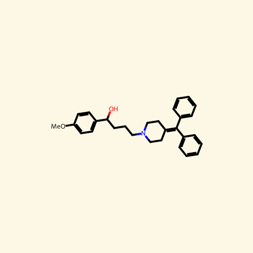 COc1ccc(C(O)CCCN2CCC(=C(c3ccccc3)c3ccccc3)CC2)cc1